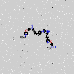 CC(C)(C)CN1CCC(O[C@H]2C[C@H](NC(C)(C)CCC(C)(C)Cc3ccc(N4CC[C@H](NC(C)(C)CCC(C)(C)c5ccnc(O[C@H]6C[C@H](NC(C)(C)C)C6)c5)C4)cc3)C2)CC1